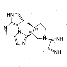 C[C@H]1CCN(C(=N)C=N)C[C@H]1c1ncc2cnc3[nH]ccc3n12